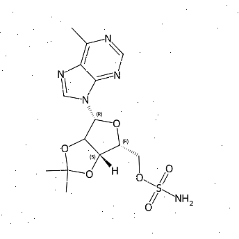 Cc1ncnc2c1ncn2[C@@H]1O[C@H](COS(N)(=O)=O)[C@@H]2OC(C)(C)OC21